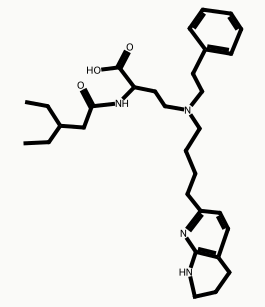 CCC(CC)CC(=O)NC(CCN(CCCCc1ccc2c(n1)NCCC2)CCc1ccccc1)C(=O)O